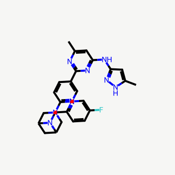 Cc1cc(Nc2cc(C)[nH]n2)nc(-c2ccc(N3CC4CC(C3)N4Cc3ccc(F)cn3)nc2)n1